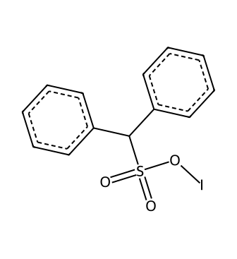 O=S(=O)(OI)C(c1ccccc1)c1ccccc1